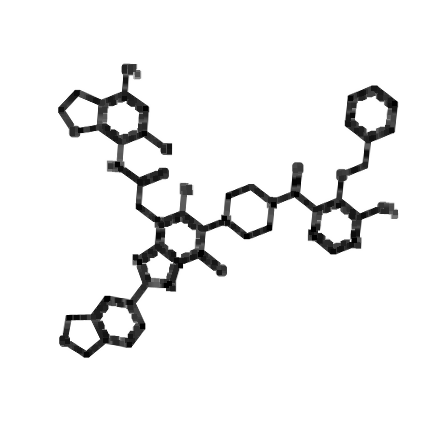 CCc1c(N2CCN(C(=O)c3ncnc(C)c3OCc3ccccc3)CC2)c(=O)n2nc(-c3ccc4c(c3)COC4)nc2n1CC(=O)Nc1c(Cl)cc(C(F)(F)F)c2c1OCC2